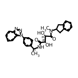 C[C@H](NC(=O)[C@H](O)[C@@H](O)C(=O)N(C)C1Cc2ccccc2C1)c1ccc(-n2nnc3ccccc32)cc1